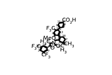 COc1cc(C(F)(F)F)c(-c2ccc(C(=O)O)cc2)cc1C1=C(CN2C(=O)O[C@H](c3cc(C(F)(F)F)cc(C(F)(F)F)c3)C2C)CC(C)(C)CC1